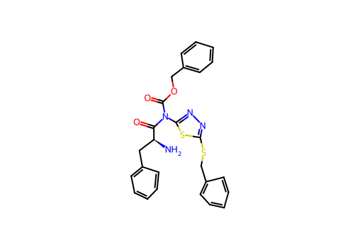 N[C@@H](Cc1ccccc1)C(=O)N(C(=O)OCc1ccccc1)c1nnc(SCc2ccccc2)s1